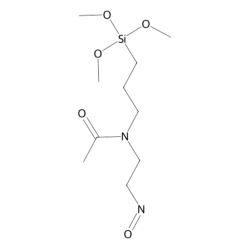 CO[Si](CCCN(CCN=O)C(C)=O)(OC)OC